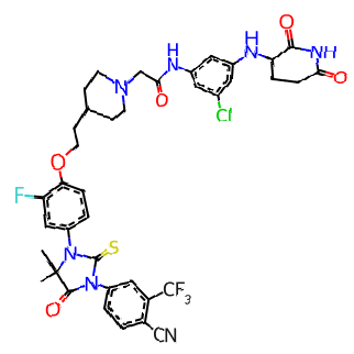 CC1(C)C(=O)N(c2ccc(C#N)c(C(F)(F)F)c2)C(=S)N1c1ccc(OCCC2CCN(CC(=O)Nc3cc(Cl)cc(NC4CCC(=O)NC4=O)c3)CC2)c(F)c1